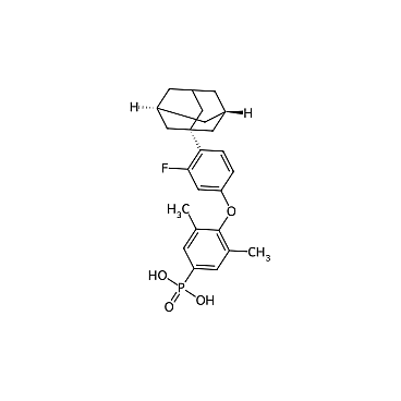 Cc1cc(P(=O)(O)O)cc(C)c1Oc1ccc([C@]23CC4C[C@@H](C[C@H](C4)C2)C3)c(F)c1